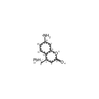 Cc1cc(=O)oc2cc(N)ccc12.[PbH2]